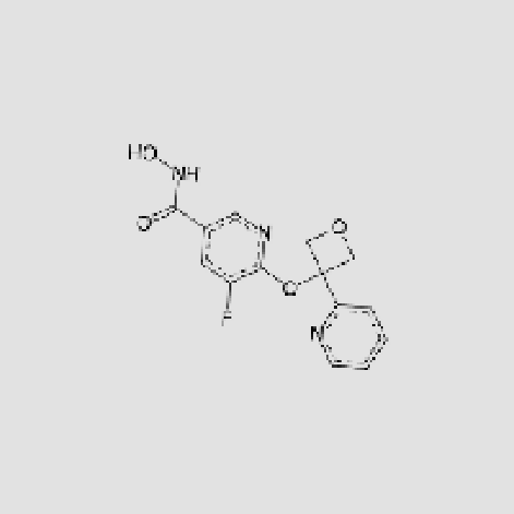 O=C(NO)c1cnc(OC2(c3ccccn3)COC2)c(F)c1